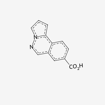 O=C(O)c1ccc2c(cnn3cccc23)c1